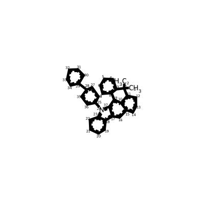 CC1(C)c2ccccc2-c2c3c1cccc3cc1c3ccccc3n(-c3ccc(-c4ccccc4)cc3)c21